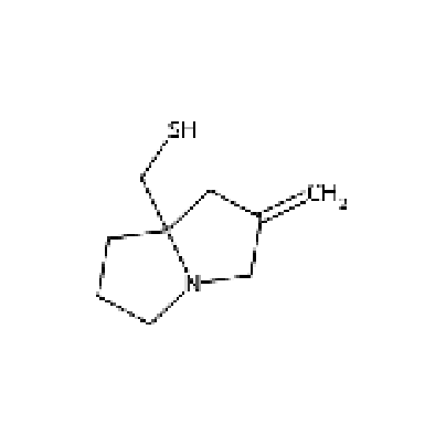 C=C1CN2CCCC2(CS)C1